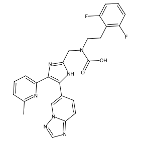 Cc1cccc(-c2nc(CN(CCc3c(F)cccc3F)C(=O)O)[nH]c2-c2ccc3ncnn3c2)n1